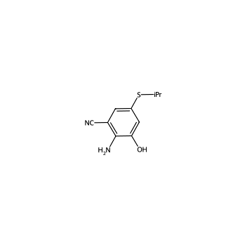 CC(C)Sc1cc(O)c(N)c(C#N)c1